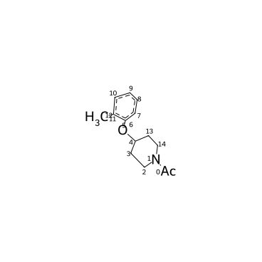 CC(=O)N1CCC(Oc2ccccc2C)CC1